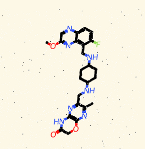 COc1cnc2ccc(F)c(CNC3CCC(NCc4nc5c(nc4C)OCC(=O)N5)CC3)c2n1